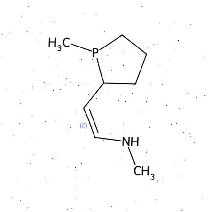 CN/C=C\C1CCCP1C